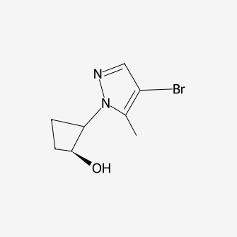 Cc1c(Br)cnn1C1CC[C@@H]1O